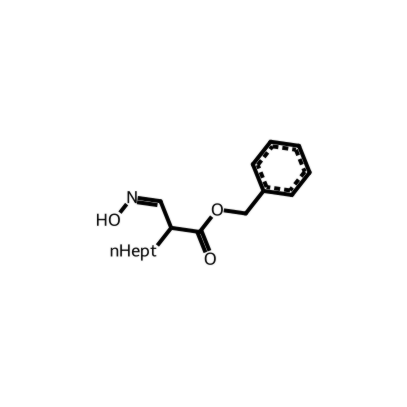 CCCCCCCC(/C=N\O)C(=O)OCc1ccccc1